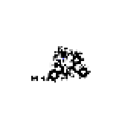 C=N/C(=N\C(=N/C)Nc1[nH]c2c(-c3ccccc3)c(-c3ccccc3)nn2c(=O)c1-c1ccc(OC)cc1)NC